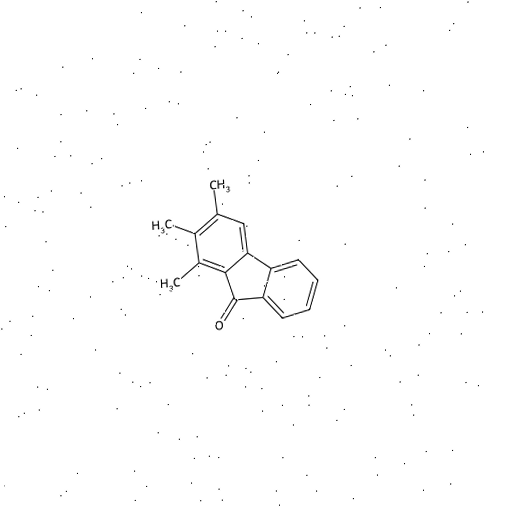 Cc1cc2c(c(C)c1C)C(=O)c1ccccc1-2